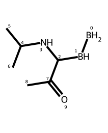 BBC(NC(C)C)C(C)=O